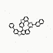 c1ccc(-c2ccc3oc4cccc(-c5ccc6oc7cccc(-c8nc(-c9ccccc9)nc(-c9ccc%10ccccc%10c9)n8)c7c6c5)c4c3c2)cc1